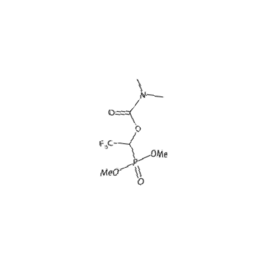 COP(=O)(OC)C(OC(=O)N(C)C)C(F)(F)F